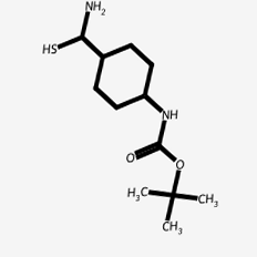 CC(C)(C)OC(=O)NC1CCC(C(N)S)CC1